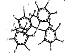 Fc1c(F)c(F)c(O[B-](c2c(F)c(F)c(F)c(F)c2F)(c2c(F)c(F)c(F)c(F)c2F)c2c(F)c(F)c(F)c(F)c2F)c(F)c1F